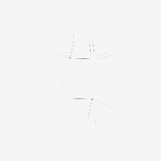 CC1(C(F)(F)F)OS(=O)(=O)C(F)(F)S(=O)(=O)O1